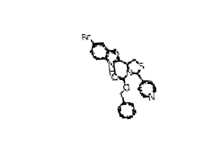 O=C(OCc1ccccc1)N1C(c2nc3cc(Br)ccc3[nH]2)CSC1c1ccncc1